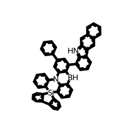 B1c2cccc3c2N(c2ccccc2[Si]32c3ccccc3-c3ccccc32)c2cc(-c3ccccc3)cc(-c3cccc4c3[nH]c3cc5ccccc5cc34)c21